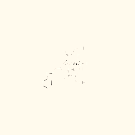 CCOC(=O)C1C2C(Cc3nc4ccccc4o3)CC(C(=O)OCC)(C(=O)OC(C)(C)C)C12N